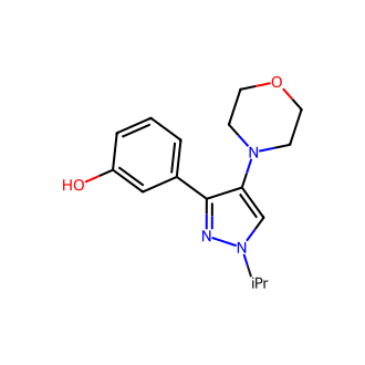 CC(C)n1cc(N2CCOCC2)c(-c2cccc(O)c2)n1